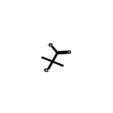 CC(C)(Cl)C([O])=O